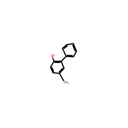 Cc1ccc(O)c(-c2c[c]ccc2)c1